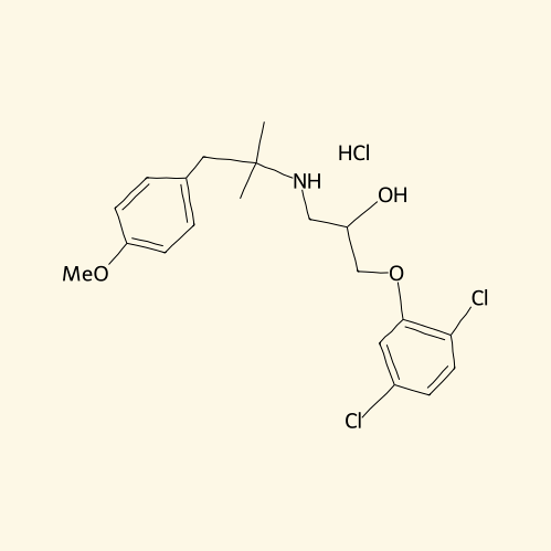 COc1ccc(CC(C)(C)NCC(O)COc2cc(Cl)ccc2Cl)cc1.Cl